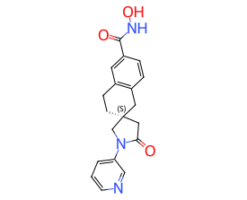 O=C(NO)c1ccc2c(c1)CC[C@@]1(CC(=O)N(c3cccnc3)C1)C2